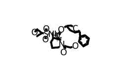 O=C1COc2ccccc2C2CCC(CC2)OC[C@H]2C(NS(=O)(=O)C3COC3)CCCN12